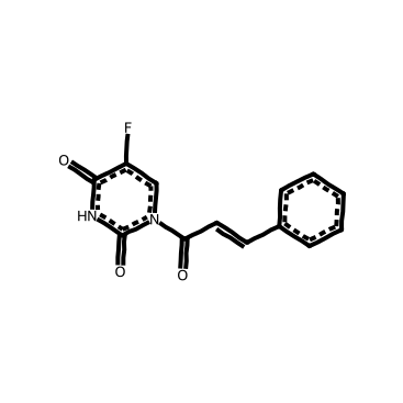 O=C(/C=C/c1ccccc1)n1cc(F)c(=O)[nH]c1=O